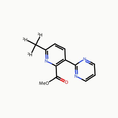 [2H]C([2H])([2H])c1ccc(-c2ncccn2)c(C(=O)OC)n1